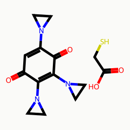 O=C(O)CS.O=C1C=C(N2CC2)C(=O)C(N2CC2)=C1N1CC1